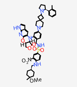 CO[C@]1(C)CC[C@@H](CNc2ccc(S(=O)(=O)NC(=O)c3ccc(N4CCC5(CC4)CC(N4CCC[C@H]4c4ccccc4C)C5)cc3N3c4cc5cc[nH]c5nc4O[C@@H]4COC[C@H]43)cc2[N+](=O)[O-])CC1